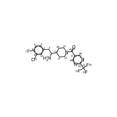 NC(Cc1ccc(F)c(Cl)c1)C1CCN(C(=O)c2cnc(C(F)(F)F)nc2)CC1